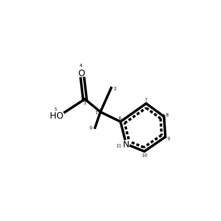 CC(C)(C(=O)O)c1c[c]ccn1